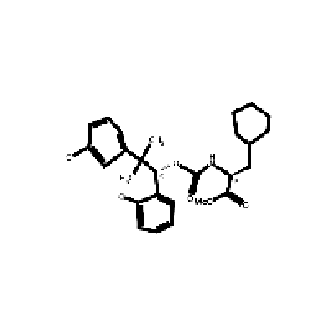 COC(=O)[C@H](CC1CCCCC1)NC(=O)O[C@H](c1ccccc1Cl)C(C)(C)c1cccc(Cl)c1